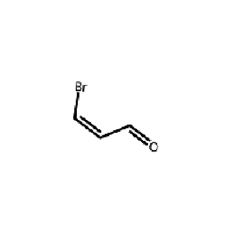 O=C/C=C\Br